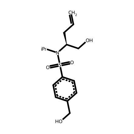 C=CC[C@@H](CO)N(C(C)C)S(=O)(=O)c1ccc(CO)cc1